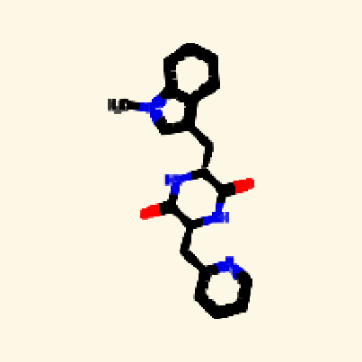 Cn1cc(C[C@H]2NC(=O)[C@H](Cc3ccccn3)NC2=O)c2ccccc21